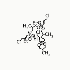 CCO[Si](C=CCCl)(OCC)OCC(C)CO[Si](C=CCCl)(OCC)OCC(C)CO[Si]1(C=CCCl)OCC(C)CO1